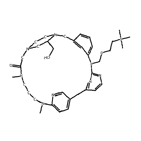 CN1CCCN(C)c2ccc(cn2)-c2ccnc(n2)N(COCCS(C)(C)C)c2cccc(c2)CN2CCN(CC1=O)CC2CO